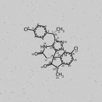 C[C@@H](c1ccc(Cl)cc1)n1nnc2c1NC(=O)C[C@]21C(=O)N(C)c2ccc(Cl)cc21